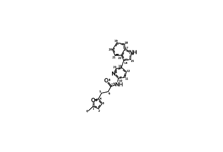 Cc1ccc(CCC(=O)Nc2ccc(-c3c[nH]c4ccccc34)cn2)o1